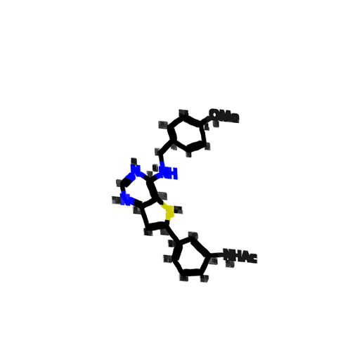 COc1ccc(CNc2ncnc3cc(-c4cccc(NC(C)=O)c4)sc23)cc1